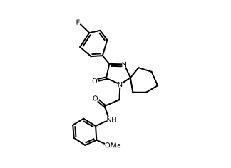 COc1ccccc1NC(=O)CN1C(=O)C(c2ccc(F)cc2)=NC12CCCCC2